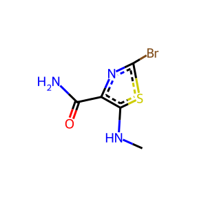 CNc1sc(Br)nc1C(N)=O